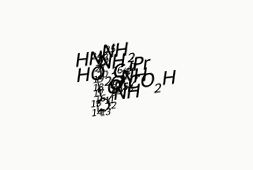 CC(C)[C@H](NC(=O)[C@H](CC(=O)O)NC(=O)c1ccccc1C#CCCCNC(=N)N)C(=O)O